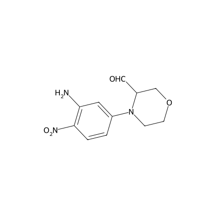 Nc1cc(N2CCOCC2C=O)ccc1[N+](=O)[O-]